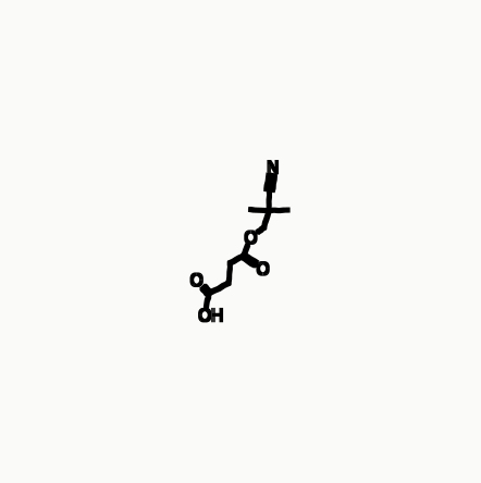 CC(C)(C#N)COC(=O)CCC(=O)O